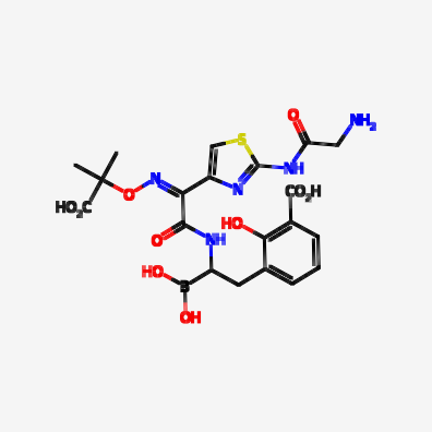 CC(C)(O/N=C(\C(=O)NC(Cc1cccc(C(=O)O)c1O)B(O)O)c1csc(NC(=O)CN)n1)C(=O)O